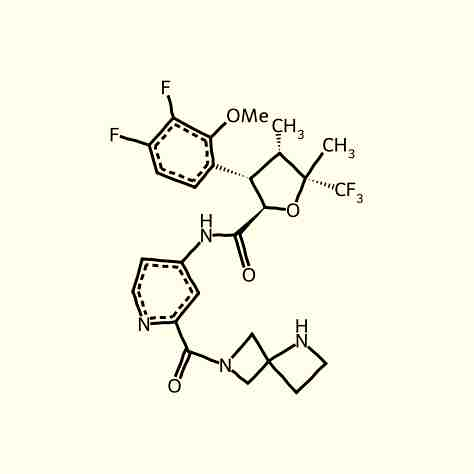 COc1c([C@H]2[C@H](C(=O)Nc3ccnc(C(=O)N4CC5(CCN5)C4)c3)O[C@@](C)(C(F)(F)F)[C@H]2C)ccc(F)c1F